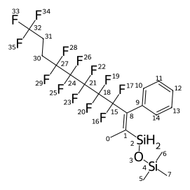 CC([SiH2]O[Si](C)(C)C)=C(c1ccccc1)C(F)(F)C(F)(F)C(F)(F)C(F)(F)C(F)(F)CCC(F)(F)F